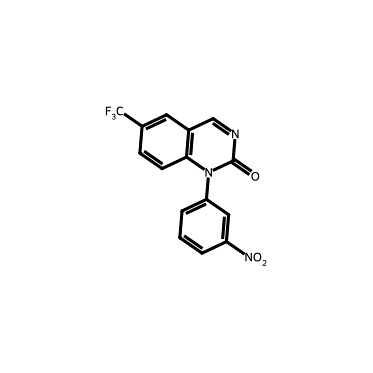 O=c1ncc2cc(C(F)(F)F)ccc2n1-c1cccc([N+](=O)[O-])c1